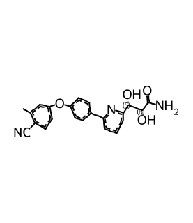 Cc1cc(Oc2ccc(-c3cccc([C@H](O)[C@@H](O)C(N)=O)n3)cc2)ccc1C#N